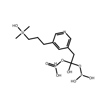 C[Si](C)(O)CCCc1cncc(CC(O)(OP(O)O)O[PH](=O)O)c1